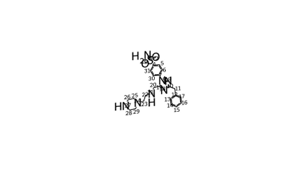 NS(=O)(=O)c1ccc(-n2nc(Cc3ccccc3)nc2CNCCN2CCNCC2)cc1